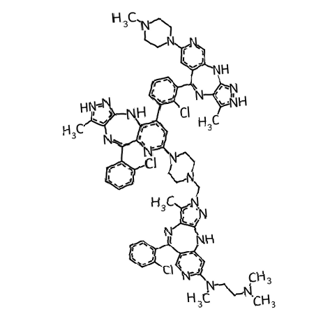 Cc1[nH]nc2c1N=C(c1cccc(-c3cc(N4CCN(Cn5nc6c(c5C)N=C(c5ccccc5Cl)c5cnc(N(C)CCN(C)C)cc5N6)CC4)nc4c3Nc3n[nH]c(C)c3N=C4c3ccccc3Cl)c1Cl)c1cc(N3CCN(C)CC3)ncc1N2